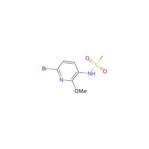 COc1nc(Br)ccc1NS(C)(=O)=O